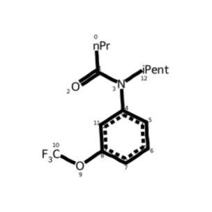 CCCC(=O)N(c1cccc(OC(F)(F)F)c1)C(C)CCC